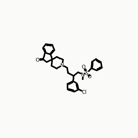 CN(CC(CCN1CCC2(CC1)CC(=O)c1ccccc12)c1cccc(Cl)c1)S(=O)(=O)c1ccccc1